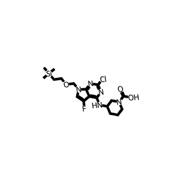 C[Si](C)(C)CCOCn1cc(F)c2c(NC3CCCN(C(=O)O)C3)nc(Cl)nc21